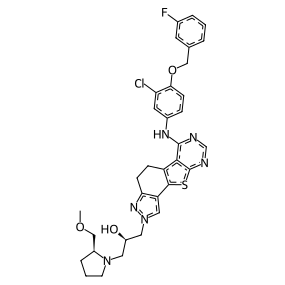 COC[C@@H]1CCCN1C[C@@H](O)Cn1cc2c(n1)CCc1c-2sc2ncnc(Nc3ccc(OCc4cccc(F)c4)c(Cl)c3)c12